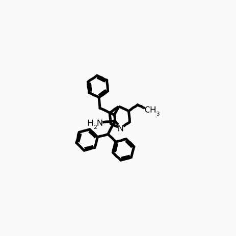 CCC1CN2CCC1C(Cc1ccccc1)C2(N)C(c1ccccc1)c1ccccc1